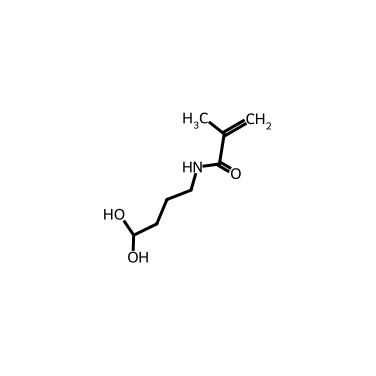 C=C(C)C(=O)NCCCC(O)O